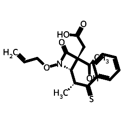 C=CCON1C(=O)[C@](CC(=O)O)([C@@H](C)O)[C@@H]1[C@@H](C)C(=S)c1ccccc1